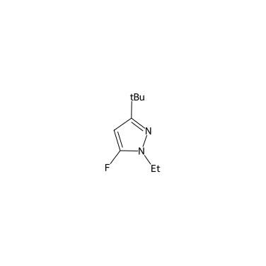 CCn1nc(C(C)(C)C)cc1F